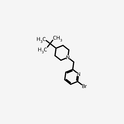 CC(C)(C)C1CCN(Cc2cccc(Br)n2)CC1